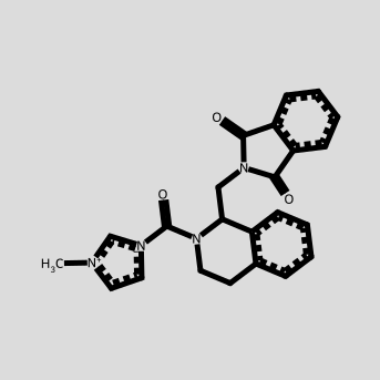 C[n+]1ccn(C(=O)N2CCc3ccccc3C2CN2C(=O)c3ccccc3C2=O)c1